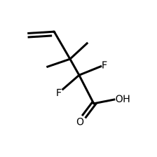 C=CC(C)(C)C(F)(F)C(=O)O